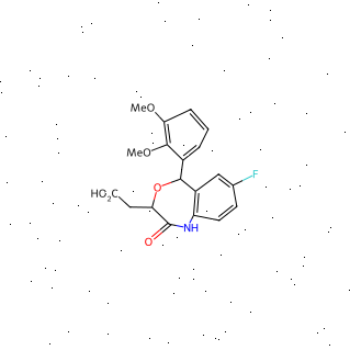 COc1cccc(C2OC(CC(=O)O)C(=O)Nc3ccc(F)cc32)c1OC